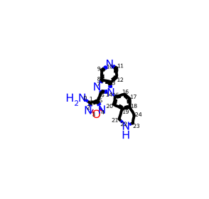 Nc1nonc1-c1nc2cnccc2n1-c1ccc2c(c1)CNCC2